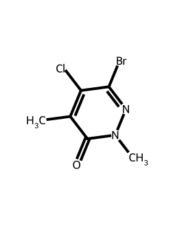 Cc1c(Cl)c(Br)nn(C)c1=O